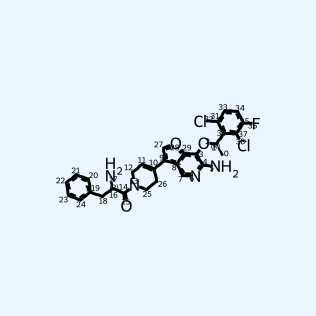 C[C@@H](Oc1c(N)ncc2c(C3=CCN(C(=O)[C@H](N)Cc4ccccc4)CC3)coc12)c1c(Cl)ccc(F)c1Cl